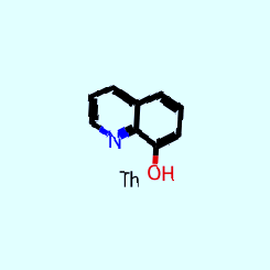 Oc1cccc2cccnc12.[Th]